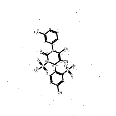 CCS(=O)(=O)c1cc(C#N)ccc1[C@@H]1C(C#N)=C(C)N(c2cccc(C(F)(F)F)c2)C(=O)N1S(C)(=O)=O